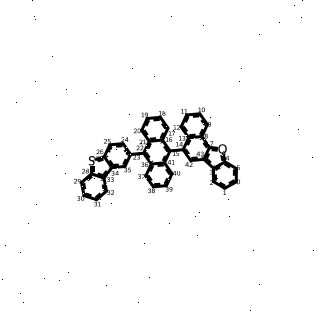 c1ccc2c(c1)oc1c3ccccc3c(-c3c4ccccc4c(-c4ccc5sc6ccccc6c5c4)c4ccccc34)cc21